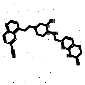 N#Cc1ccc2nccc(CCN3CC[C@H](NCc4ccc5c(n4)NC(=O)CS5)[C@H](O)C3)c2c1